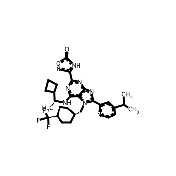 CC(C)c1ccnc(-c2nc3nc(-c4noc(=O)[nH]4)nc(N[C@H](C)C4CCC4)c3n2C[C@H]2CC[C@H](C(F)(F)F)CC2)c1